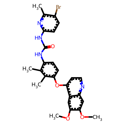 COc1cc2nccc(Oc3ccc(NC(=O)Nc4ccc(Br)c(C)n4)c(C)c3C)c2cc1OC